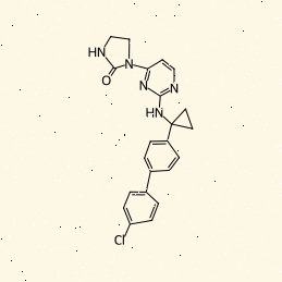 O=C1NCCN1c1ccnc(NC2(c3ccc(-c4ccc(Cl)cc4)cc3)CC2)n1